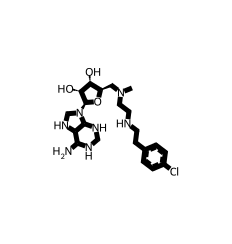 CN(CCNCCc1ccc(Cl)cc1)C[C@H]1O[C@@H](N2CNC3C(N)NCNC32)[C@H](O)[C@@H]1O